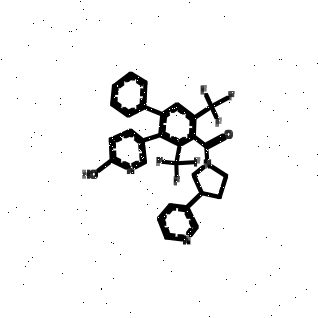 O=C(c1c(C(F)(F)F)cc(-c2ccccc2)c(-c2ccc(O)nc2)c1C(F)(F)F)N1CCC(c2cccnc2)C1